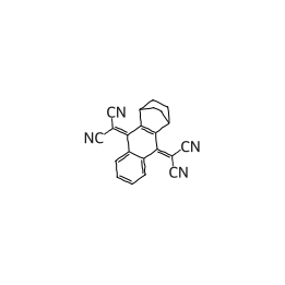 N#CC(C#N)=c1c2c(c(=C(C#N)C#N)c3ccccc13)C1CCC2CC1